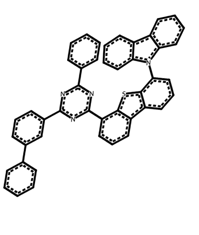 c1ccc(-c2cccc(-c3nc(-c4ccccc4)nc(-c4cccc5c4sc4c(-n6c7ccccc7c7ccccc76)cccc45)n3)c2)cc1